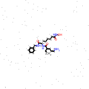 C=C/C(=C\C=C/N)C(=O)N[C@@H](CCCCCC(=O)NO)C(=O)NCc1ccccc1